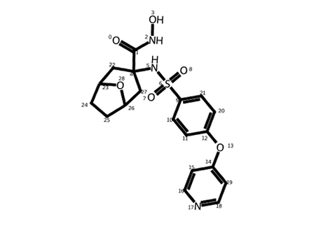 O=C(NO)C1(NS(=O)(=O)c2ccc(Oc3ccncc3)cc2)CC2CCC(C1)O2